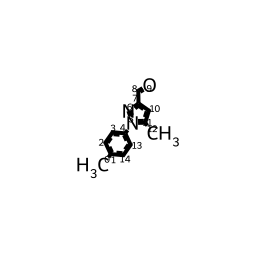 Cc1ccc(-n2nc(C=O)cc2C)cc1